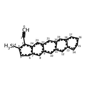 C#Cc1c([SiH3])ccc2cc3cc4cc5ccccc5cc4cc3cc12